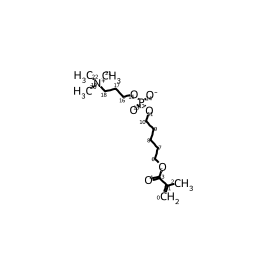 C=C(C)C(=O)OCCCCCOP(=O)([O-])OCCC[N+](C)(C)C